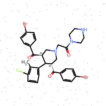 Cc1c(F)cccc1C1[C@@H](C(=O)c2ccc(Br)cc2)CN(CC(=O)N2CCNCC2)C[C@@H]1C(=O)c1ccc(Br)cc1